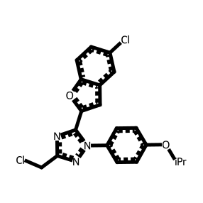 CC(C)Oc1ccc(-n2nc(CCl)nc2-c2cc3cc(Cl)ccc3o2)cc1